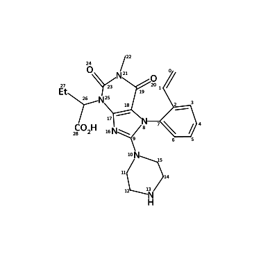 C=Cc1ccccc1-n1c(N2CCNCC2)nc2c1c(=O)n(C)c(=O)n2C(CC)C(=O)O